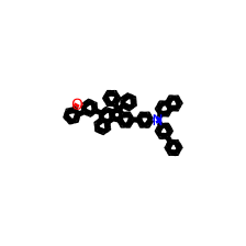 c1ccc(-c2ccc(N(c3ccc(-c4ccc5c(c4)C(c4ccccc4)(c4ccccc4)c4cc(-c6ccc7oc8ccccc8c7c6)c6ccccc6c4-5)cc3)c3ccc4ccccc4c3)cc2)cc1